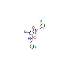 N#Cc1cc(C(=O)NCCc2cccc(F)c2)cc(C(=O)NCCc2cccc(F)c2)c1